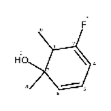 CC1C(F)=CC=CC1(C)O